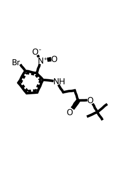 CC(C)(C)OC(=O)CCNc1cccc(Br)c1[N+](=O)[O-]